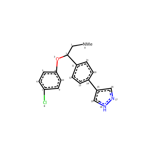 CNCC(Oc1ccc(Cl)cc1)c1ccc(-c2cn[nH]c2)cc1